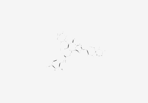 CCc1c(N2CCNCC2)c(=O)n2nc(C3=CCC4(CCCO4)CC3)nc2n1CC(=O)Nc1ccc(C(F)(F)F)cc1F